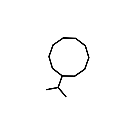 CC(C)C1[CH]CCCCCCCC1